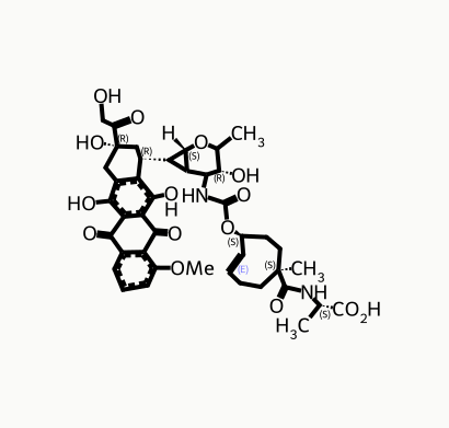 COc1cccc2c1C(=O)c1c(O)c3c(c(O)c1C2=O)C[C@@](O)(C(=O)CO)C[C@@H]3C1C2C(NC(=O)O[C@@H]3/C=C/CC[C@](C)(C(=O)N[C@@H](C)C(=O)O)CC3)[C@@H](O)C(C)O[C@H]21